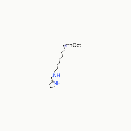 CCCCCCCC/C=C\CCCCCCCCNC[C@@H]1CCCN1